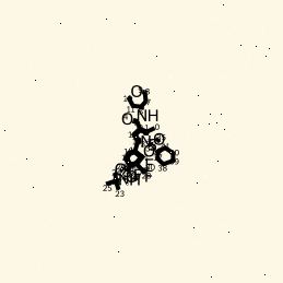 Cc1c(C(=O)NC2CCOCC2)cc(-c2ccc(S(=O)(=O)NC(C)(C)C)c(C(F)(F)F)c2)n1S(=O)(=O)C1CCCCC1